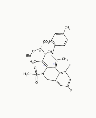 C/C(Cc1ccc(C)cc1)=C1/C(=C(/C)C(C)[C@H](OC(C)(C)C)C(=O)O)N(S(C)(=O)=O)Cc2cc(F)cc(F)c21